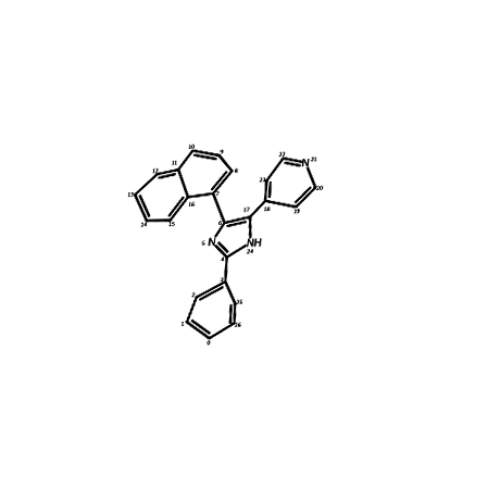 c1ccc(-c2nc(-c3cccc4ccccc34)c(-c3ccncc3)[nH]2)cc1